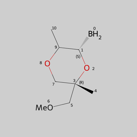 B[C@@H]1O[C@](C)(COC)COC1C